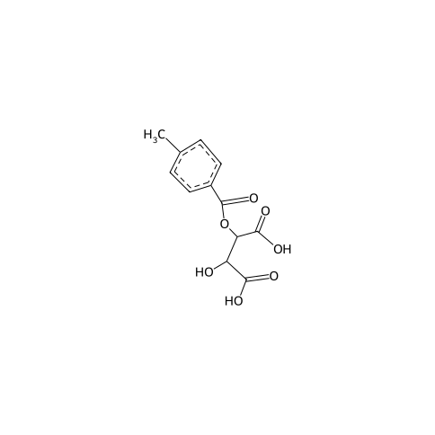 Cc1ccc(C(=O)OC(C(=O)O)C(O)C(=O)O)cc1